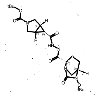 CCCCON1C(=O)N2C[C@@H]1CC[C@H]2C(=O)NNC(=O)[C@@H]1[C@@H]2CN(C(=O)OC(C)(C)C)C[C@@H]21